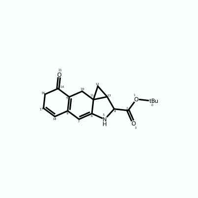 CC(C)(C)OC(=O)C1NC2=CC3=C(CC24CC14)C(=O)CC=C3